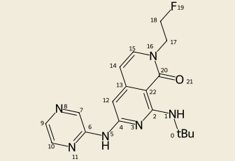 CC(C)(C)Nc1nc(Nc2cnccn2)cc2ccn(CCF)c(=O)c12